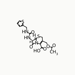 CC(=O)OCC1=C(C(=O)O)N2C(=O)[C@@H](NC(=O)NCc3cccs3)[C@H]2SC1